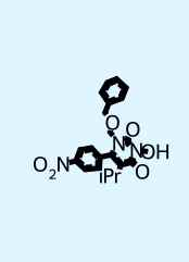 CC(C)c1c(-c2ccc([N+](=O)[O-])cc2)n(COCc2ccccc2)c(=O)n(O)c1=O